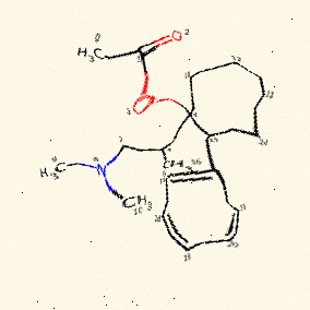 CC(=O)OC1(C(C)CN(C)C)CCCCC1c1ccccc1